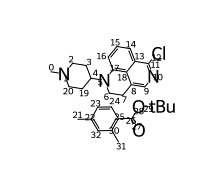 CN1CCC(N2CCc3cnc(Cl)c4cccc2c34)CC1.Cc1ccc(C(=O)OC(C)(C)C)c(C)c1